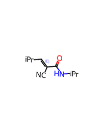 CC(C)/C=C(\C#N)C(=O)NC(C)C